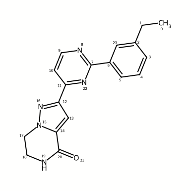 CCc1cccc(-c2nccc(-c3cc4n(n3)CCNC4=O)n2)c1